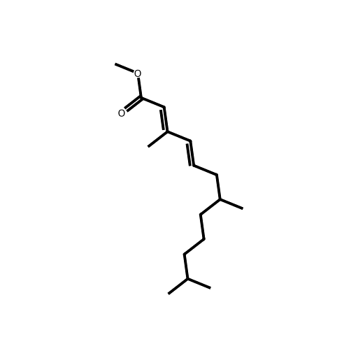 COC(=O)/C=C(C)/C=C/CC(C)CCCC(C)C